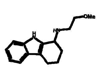 COCCNC1CCCc2c1[nH]c1ccccc21